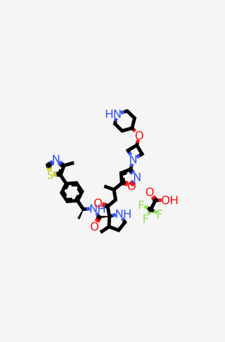 Cc1ncsc1-c1ccc([C@H](C)NC(=O)[C@@]2(C(=O)CC(C)c3cc(N4CC(OC5CCNCC5)C4)no3)NCCC2C)cc1.O=C(O)C(F)(F)F